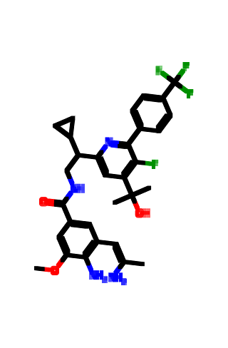 COc1cc(C(=O)NCC(c2cc(C(C)(C)O)c(F)c(-c3ccc(C(F)(F)F)cc3)n2)C2CC2)cc(/C=C(/C)N)c1N